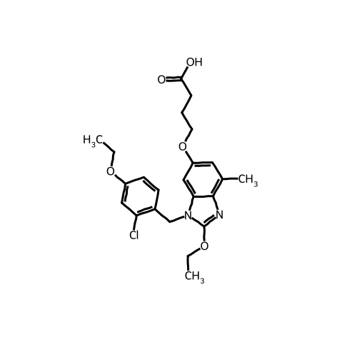 CCOc1ccc(Cn2c(OCC)nc3c(C)cc(OCCCC(=O)O)cc32)c(Cl)c1